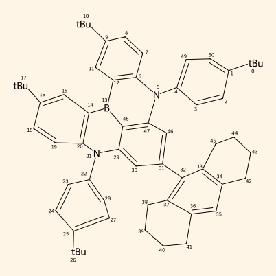 CC(C)(C)c1ccc(N2c3ccc(C(C)(C)C)cc3B3c4cc(C(C)(C)C)ccc4N(c4ccc(C(C)(C)C)cc4)c4cc(-c5c6c(cc7c5CCCC7)CCCC6)cc2c43)cc1